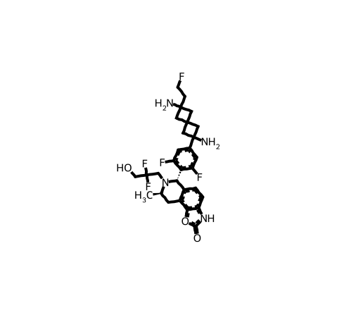 C[C@@H]1Cc2c(ccc3[nH]c(=O)oc23)[C@@H](c2c(F)cc(C3(N)CC4(CC(N)(CCF)C4)C3)cc2F)N1CC(F)(F)CO